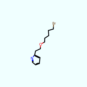 BrCCCCCOCCc1ccccn1